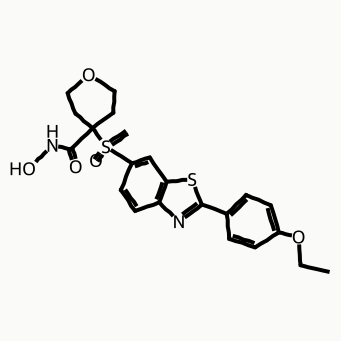 C=S(=O)(c1ccc2nc(-c3ccc(OCC)cc3)sc2c1)C1(C(=O)NO)CCOCC1